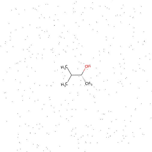 CC(C)[C@@H](C)O